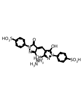 CC1=NN(c2ccc(S(=O)(=O)O)cc2)C(=O)C1=Cc1c(C)nn(-c2ccc(S(=O)(=O)O)cc2)c1O.N.N